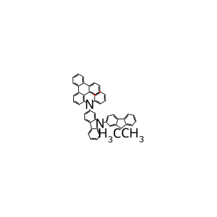 CC1(C)c2ccccc2-c2ccc(-n3c4ccccc4c4ccc(N(c5ccccc5)c5cccc6c7ccccc7c7ccccc7c56)cc43)cc21